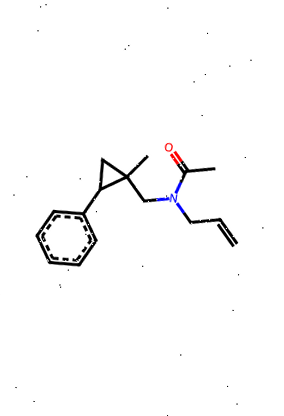 C=CCN(CC1(C)CC1c1ccccc1)C(C)=O